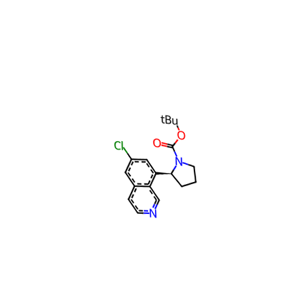 CC(C)(C)OC(=O)N1CCC[C@H]1c1cc(Cl)cc2ccncc12